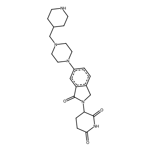 O=C1CCC(N2Cc3ccc(N4CCN(CC5CCNCC5)CC4)cc3C2=O)C(=O)N1